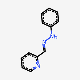 C(=NNc1ccccc1)c1ccccn1